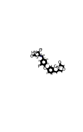 CN1C(=O)COCC1Cc1ccc(Oc2ccc(/C=C3\SC(=O)NC3=O)cc2F)cc1